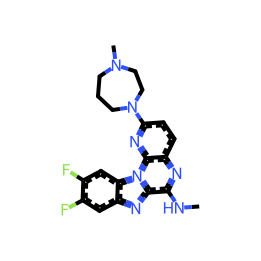 CNc1nc2ccc(N3CCCN(C)CC3)nc2n2c1nc1cc(F)c(F)cc12